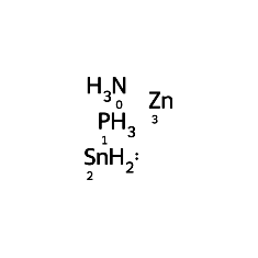 N.P.[SnH2].[Zn]